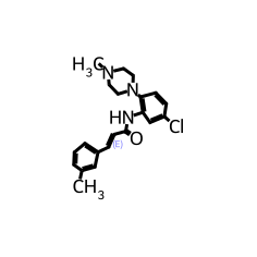 Cc1cccc(/C=C/C(=O)Nc2cc(Cl)ccc2N2CCN(C)CC2)c1